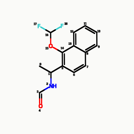 CC(NC=O)c1ccc2ccccc2c1OC(F)F